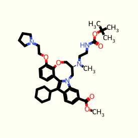 COC(=O)c1ccc2c(C3CCCCC3)c3n(c2c1)C[C@@H](N(C)CCNC(=O)OC(C)(C)C)COc1c(OCCN2CCCC2)cccc1-3